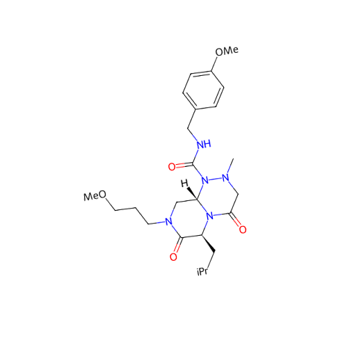 COCCCN1C[C@H]2N(C(=O)CN(C)N2C(=O)NCc2ccc(OC)cc2)[C@@H](CC(C)C)C1=O